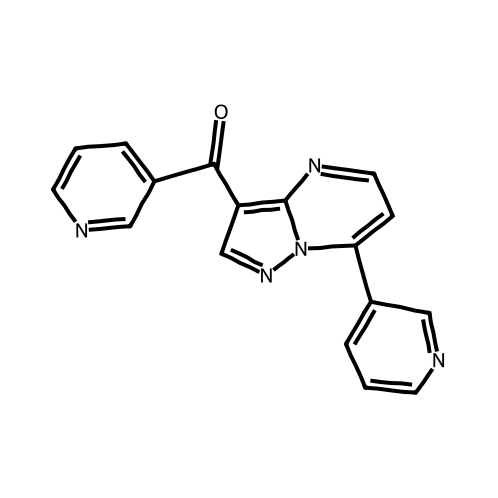 O=C(c1cccnc1)c1cnn2c(-c3cccnc3)ccnc12